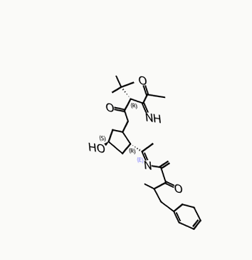 C=C(/N=C(\C)[C@@H]1C[C@@H](O)CC1CC(=O)[C@@H](C(=N)C(C)=O)C(C)(C)C)C(=O)C(C)CC1=CC=CCC1